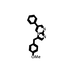 COc1ccc(Cc2cnc3ncc(-c4ccccc4)cn23)cc1